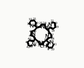 Cn1c2ccc1c(-c1ccccn1)c1nc(c(-c3ccccn3)c3ccc([nH]3)c(-c3ccccn3)c3nc(c2-c2ccccn2)C=C3)C=C1